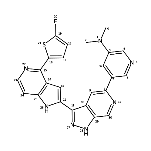 CN(C)c1cncc(-c2cc3c(-c4cc5c(-c6ccc(F)s6)nccc5[nH]4)n[nH]c3cn2)c1